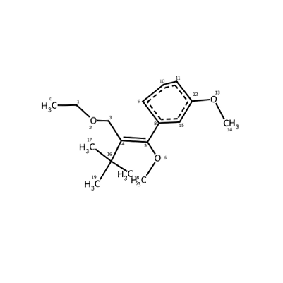 CCOCC(=C(OC)c1cccc(OC)c1)C(C)(C)C